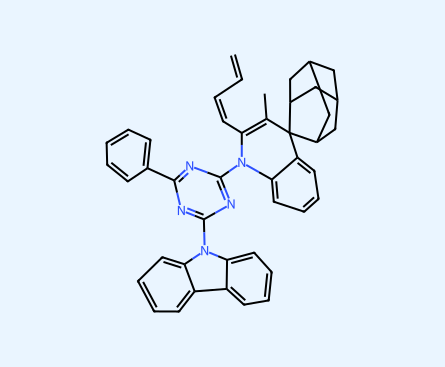 C=C/C=C\C1=C(C)C2(c3ccccc3N1c1nc(-c3ccccc3)nc(-n3c4ccccc4c4ccccc43)n1)C1CC3CC(C1)CC2C3